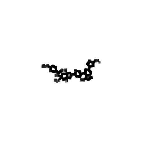 COc1ccc(C(=O)NC2(C)C[C@H]3CN(c4ccc(-c5cc(-c6cnn(C)c6)cn6ncc(C#N)c56)cn4)C[C@H]3C2)cn1